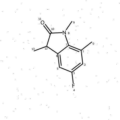 Cc1cc(F)cc2c1N(C)C(=O)C2C